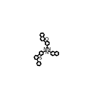 c1ccc(-c2cccc3c2sc2cc(-c4nc(-c5ccc6ccccc6c5)nc(-c5ccc6oc7c8ccccc8ccc7c6c5)n4)ccc23)cc1